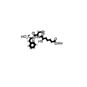 COC(=O)CCCCC(S)C(=O)NC(CC(C)C)C(=O)NC(Cc1ccccc1)C(=O)O